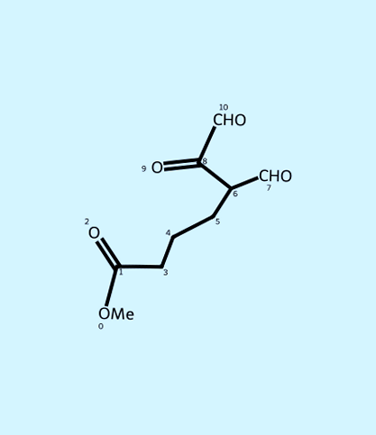 COC(=O)CCCC(C=O)C(=O)C=O